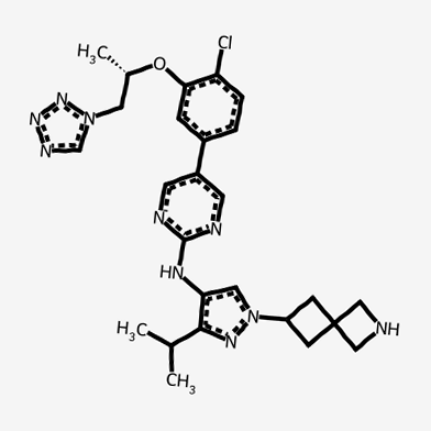 CC(C)c1nn(C2CC3(CNC3)C2)cc1Nc1ncc(-c2ccc(Cl)c(O[C@@H](C)Cn3cnnn3)c2)cn1